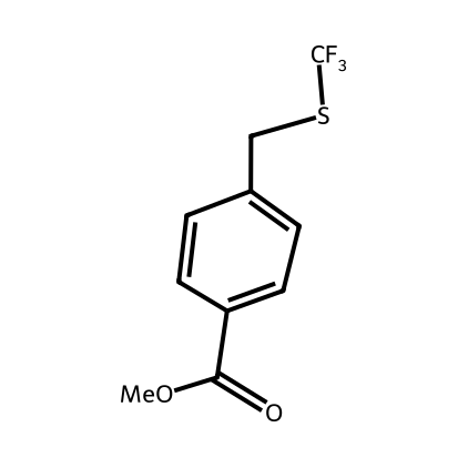 COC(=O)c1ccc(CSC(F)(F)F)cc1